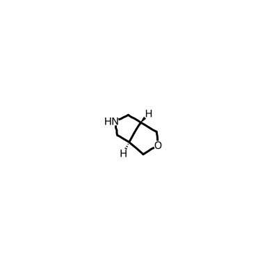 C1NC[C@@H]2COC[C@@H]12